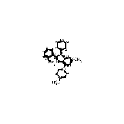 Cc1nc(N2CCN(C)CC2)c2nc(-c3ccccc3C(F)(F)F)n(C3CCOCC3)c2n1